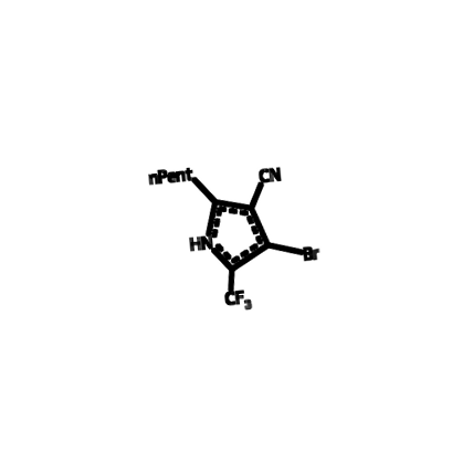 CCCCCc1[nH]c(C(F)(F)F)c(Br)c1C#N